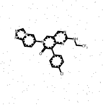 O=c1c(-c2ccc(Cl)cc2)c2nc(NCC(F)(F)F)ncc2cn1-c1ccc2nncn2c1